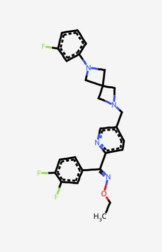 CCON=C(c1ccc(F)c(F)c1)c1ccc(CN2CC3(C2)CN(c2cccc(F)c2)C3)cn1